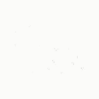 CON(C)C(=O)c1c(C)nc2c(OCc3c(F)cccc3F)cc(C)cn12